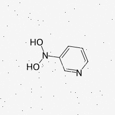 ON(O)c1cccnc1